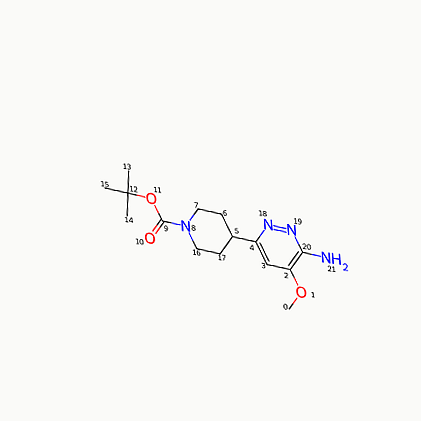 COc1cc(C2CCN(C(=O)OC(C)(C)C)CC2)nnc1N